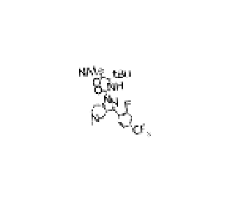 CNC(=O)[C@@H](NC(=O)n1nc(-c2ccc(C(F)(F)F)cc2F)c2c1CCN(C)C2)C(C)(C)C